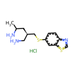 CC(N)C[C@H](CN)CSc1ccc2ncsc2c1.Cl